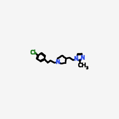 Cc1nccn1CCC1CCN(CCCc2ccc(Cl)cc2)CC1